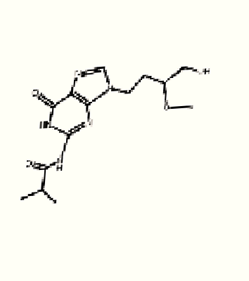 CO[C@H](CO)CCn1cnc2c(=O)[nH]c(NC(=O)C(C)C)nc21